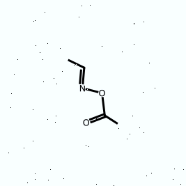 CC=NOC(C)=O